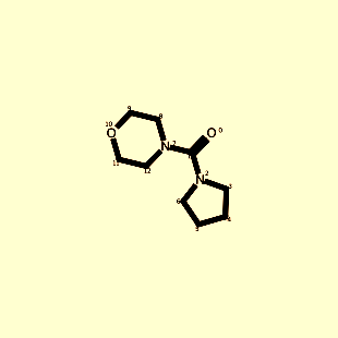 O=C(N1C[CH]CC1)N1CCOCC1